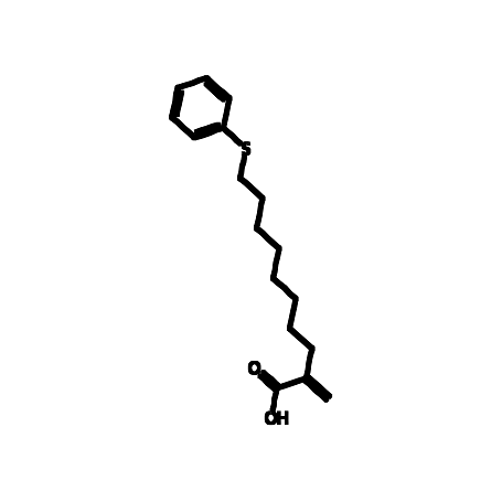 C=C(CCCCCCCCSc1ccccc1)C(=O)O